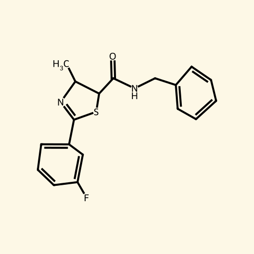 CC1N=C(c2cccc(F)c2)SC1C(=O)NCc1ccccc1